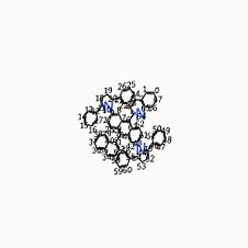 C1=Cc2ccc(-c3c4cc(N5C(c6ccccc6)=CCC5c5ccccc5)ccc4c(-c4cccc5ccccc45)c4cc(N5C(c6ccccc6)=CCC5c5ccccc5)ccc34)nc2CC1